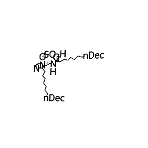 CCCCCCCCCCCCCCCCCC(=O)NCC[N+]1(C)C=CN=C1CCCCCCCCCCCCCCCCC.O=S(=O)([O-])O